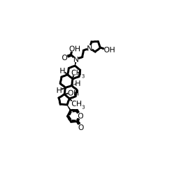 C[C@]12CC[C@H](N(CCN3CCC(O)C3)C(=O)O)C[C@H]1CC[C@@H]1[C@@H]2CC[C@]2(C)[C@@H](c3ccc(=O)oc3)CC[C@]12O